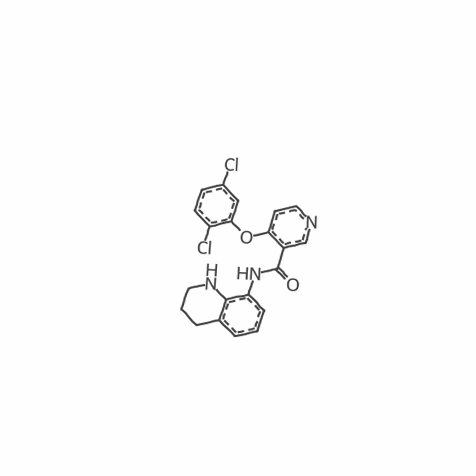 O=C(Nc1cccc2c1NCCC2)c1cnccc1Oc1cc(Cl)ccc1Cl